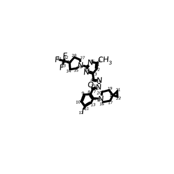 Cc1cc(-c2nnc(-c3ccc(I)cc3N3CCC4(CC3)CC4)o2)nc(N2CCC(C(F)(F)F)CC2)n1